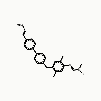 CCN(C)C=Nc1cc(C)c(Cc2ccc(-c3ccc(C=NOC)cc3)cc2)cc1C